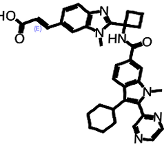 Cn1c(C2(NC(=O)c3ccc4c(C5CCCCC5)c(-c5cnccn5)n(C)c4c3)CCC2)nc2ccc(/C=C/C(=O)O)cc21